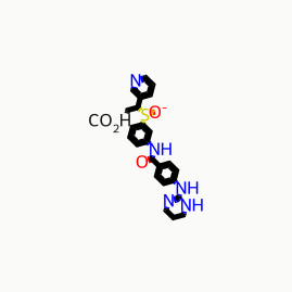 O=C(O)CC(c1cccnc1)[S+]([O-])c1cccc(NC(=O)c2ccc(NC3=NCCCN3)cc2)c1